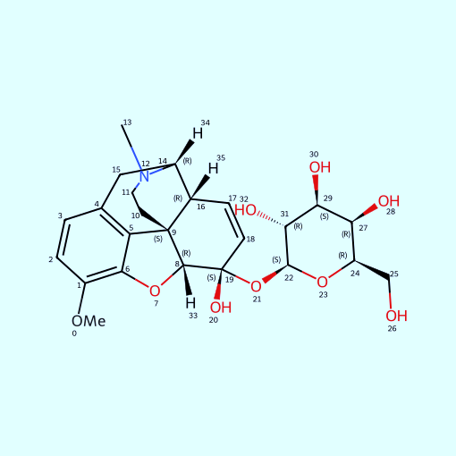 COc1ccc2c3c1O[C@@H]1[C@]34CCN(C)[C@H](C2)[C@@H]4C=C[C@]1(O)O[C@@H]1O[C@H](CO)[C@H](O)[C@H](O)[C@H]1O